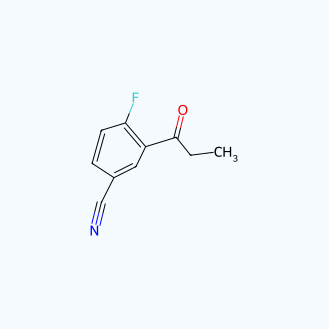 CCC(=O)c1cc(C#N)ccc1F